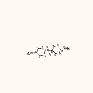 CC(C)(C1CCC(C#N)CC1)C1CCC(C#N)CC1